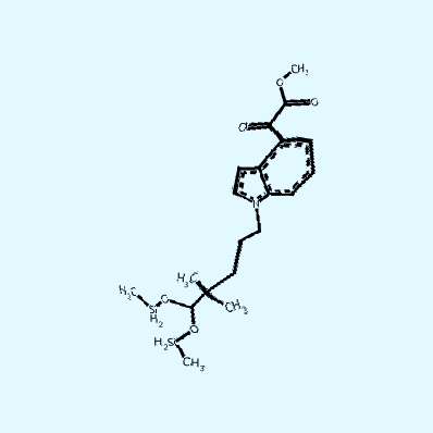 COC(=O)C(=O)c1cccc2c1ccn2CCCC(C)(C)C(O[SiH2]C)O[SiH2]C